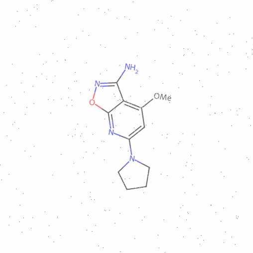 COc1cc(N2CCCC2)nc2onc(N)c12